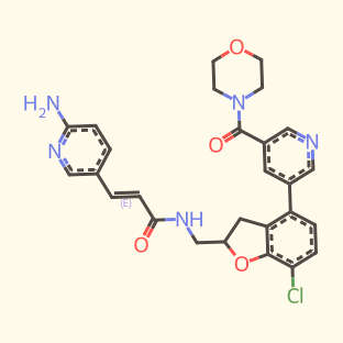 Nc1ccc(/C=C/C(=O)NCC2Cc3c(-c4cncc(C(=O)N5CCOCC5)c4)ccc(Cl)c3O2)cn1